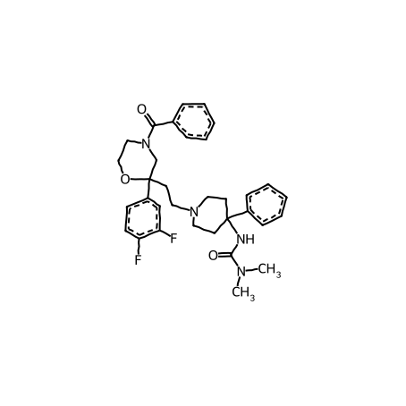 CN(C)C(=O)NC1(c2ccccc2)CCN(CCC2(c3ccc(F)c(F)c3)CN(C(=O)c3ccccc3)CCO2)CC1